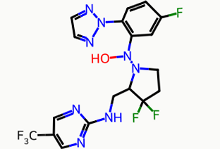 ON(c1cc(F)ccc1-n1nccn1)N1CCC(F)(F)C1CNc1ncc(C(F)(F)F)cn1